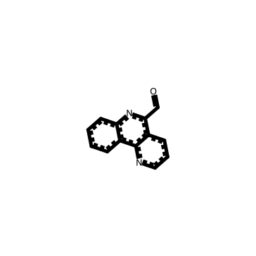 O=Cc1nc2ccccc2c2ncccc12